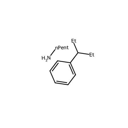 CCC(CC)c1ccccc1.CCCCCN